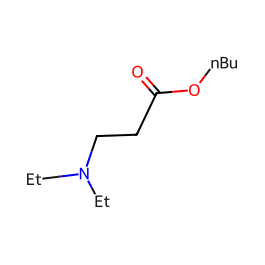 CCCCOC(=O)CCN(CC)CC